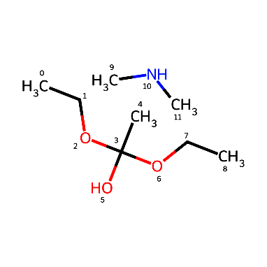 CCOC(C)(O)OCC.CNC